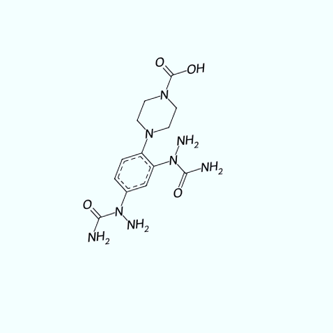 NC(=O)N(N)c1ccc(N2CCN(C(=O)O)CC2)c(N(N)C(N)=O)c1